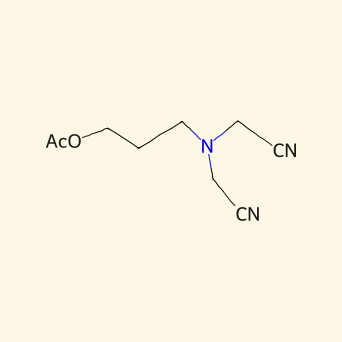 CC(=O)OCCCN(CC#N)CC#N